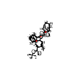 CC(C)(C)OC(=O)c1cc(C2CC2)c(OCC2CC3CCC(C2)N3C(=O)OCc2ccccc2)cc1F